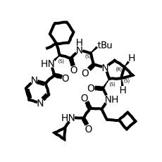 CC(C)(C)[C@H](NC(=O)[C@@H](NC(=O)c1cnccn1)C1(C)CCCCC1)C(=O)N1C[C@@H]2C[C@@H]2[C@H]1C(=O)NC(CC1CCC1)C(=O)C(=O)NC1CC1